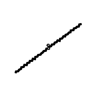 CCCCCCCCCCCCCCCCCCCCCCCCOC([O])CCCCCCCCCCCCCCCCCCCCCCC